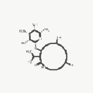 CCC1CCCNC(=O)C(C(C)O)C(O[C@@H]2O[C@@H](C)[C@@H](O)[C@@H](N)[C@H]2O)CCC(C)CCC1